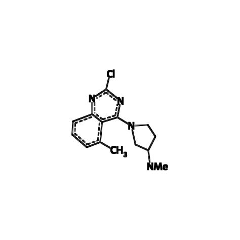 CNC1CCN(c2nc(Cl)nc3cccc(C)c23)C1